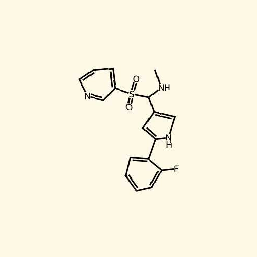 CNC(c1c[nH]c(-c2ccccc2F)c1)S(=O)(=O)c1cccnc1